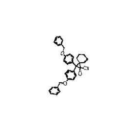 ClC1(Cl)C2(CCCCC2)C1(c1ccc(OCc2ccccc2)cc1)c1ccc(OCc2ccccc2)cc1